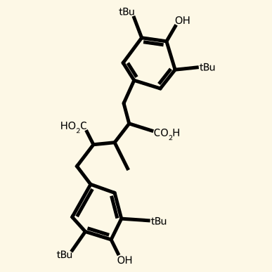 CC(C(Cc1cc(C(C)(C)C)c(O)c(C(C)(C)C)c1)C(=O)O)C(Cc1cc(C(C)(C)C)c(O)c(C(C)(C)C)c1)C(=O)O